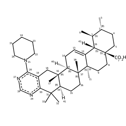 C[C@H]1[C@H](C)CC[C@]2(C(=O)O)CC[C@]3(C)C(=CC[C@@H]4[C@@]5(C)Cc6c(N7CCCCC7)ncnc6C(C)(C)[C@@H]5CC[C@]43C)[C@H]12